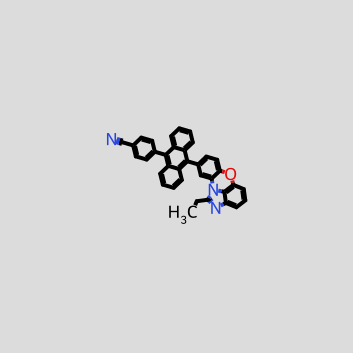 CCc1nc2cccc3c2n1-c1cc(-c2c4ccccc4c(-c4ccc(C#N)cc4)c4ccccc24)ccc1O3